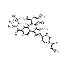 C=CC(=O)N1CCC(n2nc(-c3ccc(C(=O)N(C)CC(C)(C)O)cc3)c(-c3c(Cl)c(C)cc4[nH]ncc34)c2C)CC1